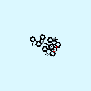 C[Si]1(C)c2ccccc2C2(c3ccccc31)c1cc(-n3c4ccccc4c4c5c(ccc43)oc3ccccc35)sc1C1(c3ccccc3[Si](C)(C)c3ccccc31)c1ccsc12